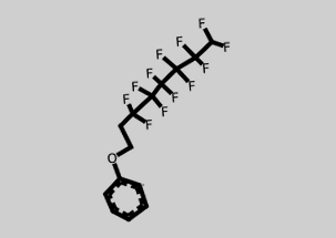 FC(F)C(F)(F)C(F)(F)C(F)(F)C(F)(F)C(F)(F)CCOc1[c]cccc1